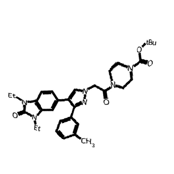 CCn1c(=O)n(CC)c2cc(-c3cn(CC(=O)N4CCN(C(=O)OC(C)(C)C)CC4)nc3-c3cccc(C)c3)ccc21